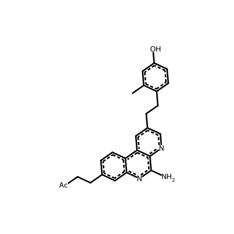 CC(=O)CCc1ccc2c(c1)nc(N)c1ncc(CCc3ccc(O)cc3C)cc12